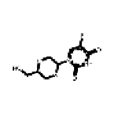 O=c1[nH]c(=O)n(C2COC(CO)CS2)cc1F